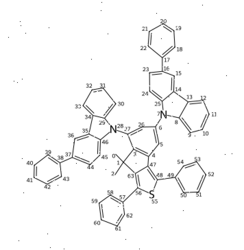 CC1(C)c2c(cc(-n3c4ccccc4c4cc(-c5ccccc5)ccc43)cc2-n2c3ccccc3c3cc(-c4ccccc4)ccc32)-c2c(-c3ccccc3)sc(-c3ccccc3)c21